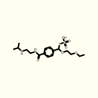 CCOCCOC(SS(=O)(=O)O)c1ccc(C(=O)NCCNC(C)C)cc1